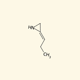 CCC=C1CN1